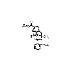 CC(C)Cc1ccccc1C(=O)OC(C)(C)Cc1ccc(C(=O)OC(C)(C)C)nc1CC(C)C